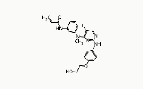 C=CC(=O)Nc1cccc(N(C)c2nc(Nc3ccc(OCCO)cc3)ncc2F)c1